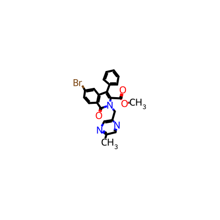 COC(=O)c1c(-c2ccccc2)c2cc(Br)ccc2c(=O)n1Cc1cnc(C)cn1